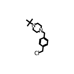 CC(C)(C)N1CCN(Cc2ccc(CCl)cc2)CC1